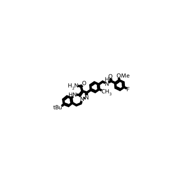 COc1cc(F)ccc1C(=O)NCc1ccc(-c2nn3c(c2C(N)=O)Nc2ccc(C(C)(C)C)cc2CC3)cc1C